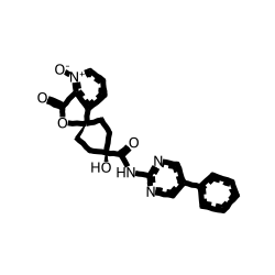 O=C1O[C@]2(CC[C@@](O)(C(=O)Nc3ncc(-c4ccccc4)cn3)CC2)c2ccc[n+]([O-])c21